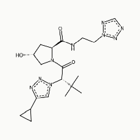 CC(C)(C)[C@@H](C(=O)N1C[C@H](O)C[C@H]1C(=O)NCCn1ncnn1)n1cc(C2CC2)nn1